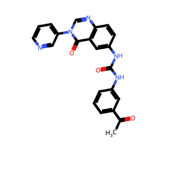 CC(=O)c1cccc(NC(=O)Nc2ccc3ncn(-c4cccnc4)c(=O)c3c2)c1